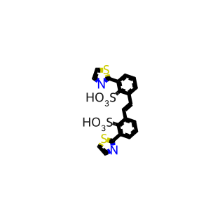 O=S(=O)(O)c1c(/C=C/c2cccc(-c3nccs3)c2S(=O)(=O)O)cccc1-c1nccs1